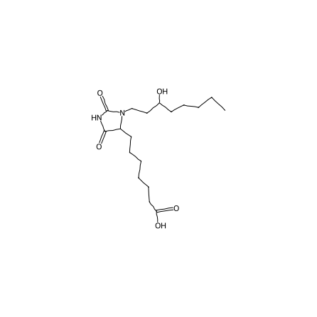 CCCCCC(O)CCN1C(=O)NC(=O)C1CCCCCCC(=O)O